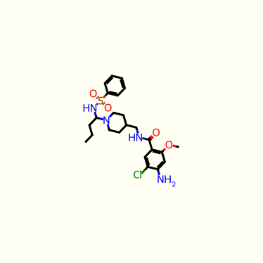 CCCC(NS(=O)(=O)c1ccccc1)N1CCC(CNC(=O)c2cc(Cl)c(N)cc2OC)CC1